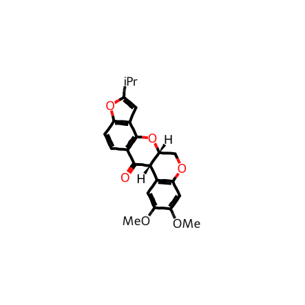 COc1cc2c(cc1OC)[C@@H]1C(=O)c3ccc4oc(C(C)C)cc4c3O[C@@H]1CO2